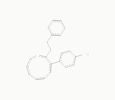 Oc1ccc(-c2ccccccsc2CCc2ccccc2)cc1